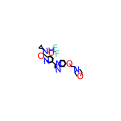 O=C(NC1CC1)c1ncc(-c2cnc3cc(OCCN4CCOCC4)ccn23)cc1OC(F)F